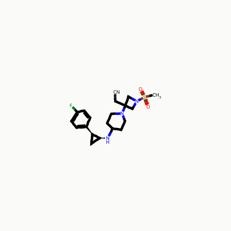 CS(=O)(=O)N1CC(CC#N)(N2CCC(N[C@@H]3C[C@H]3c3ccc(F)cc3)CC2)C1